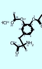 CC(=O)Oc1ccc(CC(C)(N)C(=O)Cl)cc1OC(C)=O.Cl